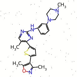 Cc1cnc(Nc2cccc(N3CCN(C)CC3)c2)nc1-c1ccc(-c2c(C)noc2C)s1